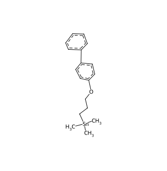 [CH3][Sn]([CH3])([CH3])[CH2]CCOc1ccc(-c2ccccc2)cc1